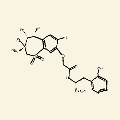 CCCC[C@]1(CC)CS(=O)(=O)c2cc(OCC(=O)N[C@H](Cc3ccccc3O)C(=O)O)c(Br)cc2[C@@H](CC)[C@H]1O